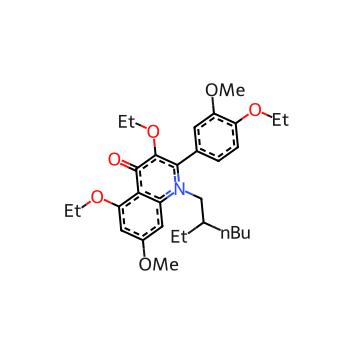 CCCCC(CC)Cn1c(-c2ccc(OCC)c(OC)c2)c(OCC)c(=O)c2c(OCC)cc(OC)cc21